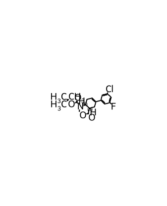 CC(C)(C)OC(=O)N1COC(=O)[C@H]2CC(c3cc(F)cc(Cl)c3)=CC[C@@H]21